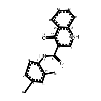 Cc1ccc(NC(=O)c2c[nH]c3ccccc3c2=O)c(C)c1